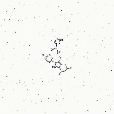 O=C(NCCc1c(-c2ccc(F)cc2)[nH]c2c(F)cc(F)cc12)c1cn[nH]c1